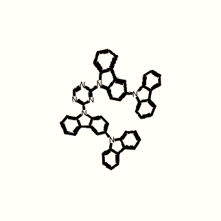 c1ccc2c(c1)c1ccccc1n2-c1ccc2c(c1)c1ccccc1n2-c1ncnc(-n2c3ccccc3c3cc(-n4c5ccccc5c5ccccc54)ccc32)n1